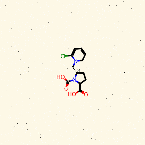 O=C(O)C1CC[C@@H](CN2CC=CC=C2Cl)N1C(=O)O